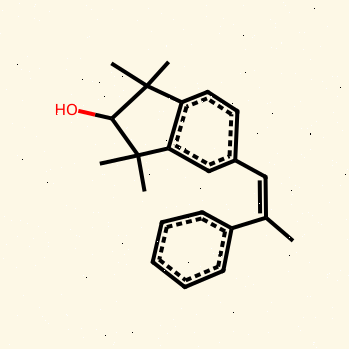 CC(=Cc1ccc2c(c1)C(C)(C)C(O)C2(C)C)c1ccccc1